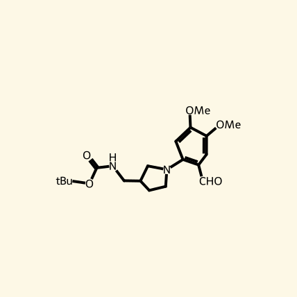 COc1cc(C=O)c(N2CCC(CNC(=O)OC(C)(C)C)C2)cc1OC